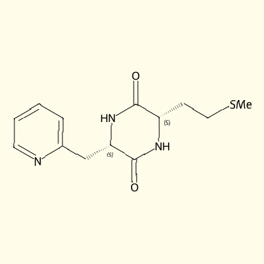 CSCC[C@@H]1NC(=O)[C@H](Cc2ccccn2)NC1=O